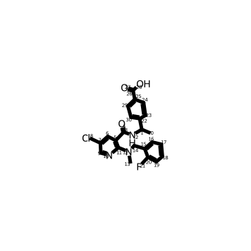 CC(NC(=O)c1cc(Cl)cnc1N(C)Cc1ccccc1F)c1ccc(C(=O)O)cc1